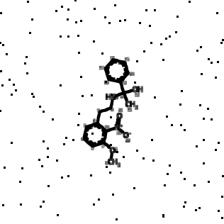 COc1cccc(CCNC(C)(O)c2ccccc2)c1[N+](=O)[O-]